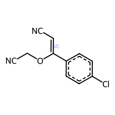 N#C/C=C(\OCC#N)c1ccc(Cl)cc1